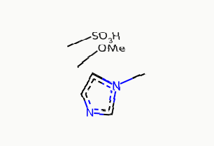 COC.CS(=O)(=O)O.Cn1ccnc1